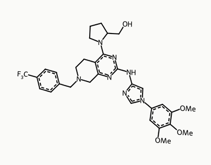 COc1cc(-n2cnc(Nc3nc4c(c(N5CCCC5CO)n3)CCN(Cc3ccc(C(F)(F)F)cc3)C4)c2)cc(OC)c1OC